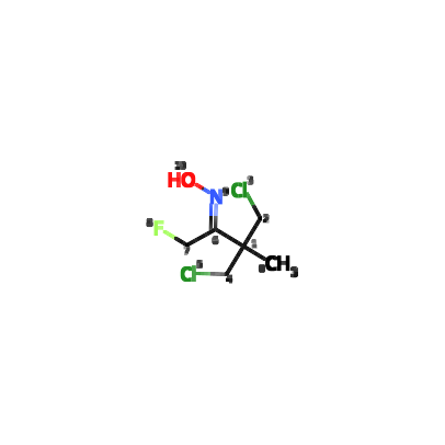 CC(CCl)(CCl)C(CF)=NO